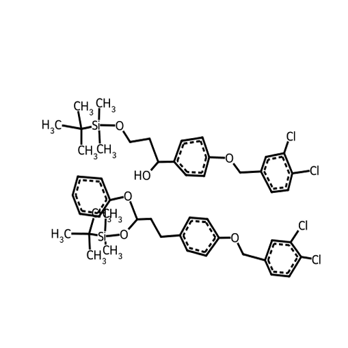 CC(C)(C)[Si](C)(C)OC(CCc1ccc(OCc2ccc(Cl)c(Cl)c2)cc1)Oc1ccccc1.CC(C)(C)[Si](C)(C)OCCC(O)c1ccc(OCc2ccc(Cl)c(Cl)c2)cc1